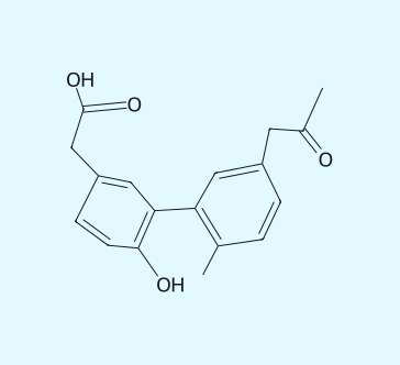 CC(=O)Cc1ccc(C)c(-c2cc(CC(=O)O)ccc2O)c1